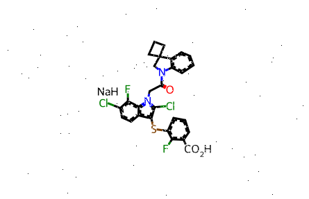 O=C(O)c1cccc(Sc2c(Cl)n(CC(=O)N3CC4(CCC4)c4ccccc43)c3c(F)c(Cl)ccc23)c1F.[NaH]